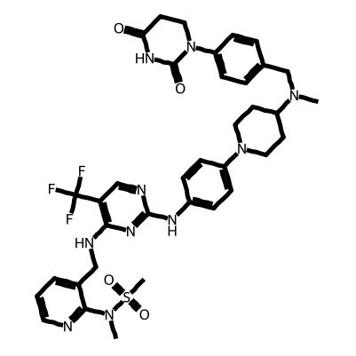 CN(Cc1ccc(N2CCC(=O)NC2=O)cc1)C1CCN(c2ccc(Nc3ncc(C(F)(F)F)c(NCc4cccnc4N(C)S(C)(=O)=O)n3)cc2)CC1